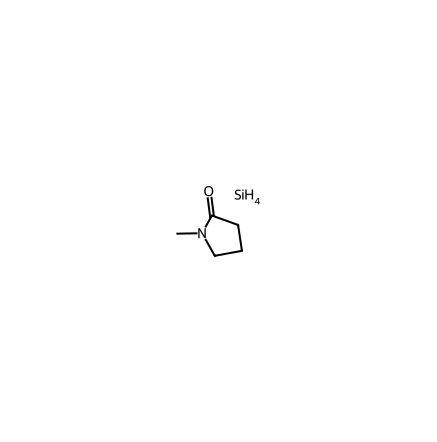 CN1CCCC1=O.[SiH4]